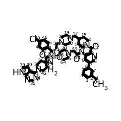 CCc1cccc(-c2cnc(C(=O)N3CCC(CN4CCN(CC[C@H](NC(=O)C5(N)CCN(c6ncnc7[nH]ccc67)CC5)c5ccc(Cl)cc5)CC4)CC3)c(NC(=O)CN3CCOCC3)c2)c1